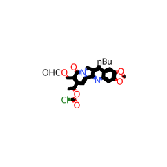 CCCCc1c2c(nc3cc4c(cc13)OCO4)-c1cc(C(C)OC(=O)Cl)c(COC=O)c(=O)n1C2